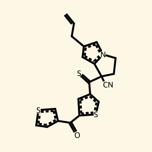 C=CCc1cc2n(c1)CCC2(C#N)C(=S)c1csc(C(=O)c2ccsc2)c1